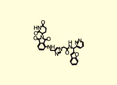 O=C1CCC(N2C(=O)c3cccc(NCc4cn(CC(=O)NC(c5cccnn5)c5cc6ccccc6o5)cn4)c3C2=O)C(=O)N1